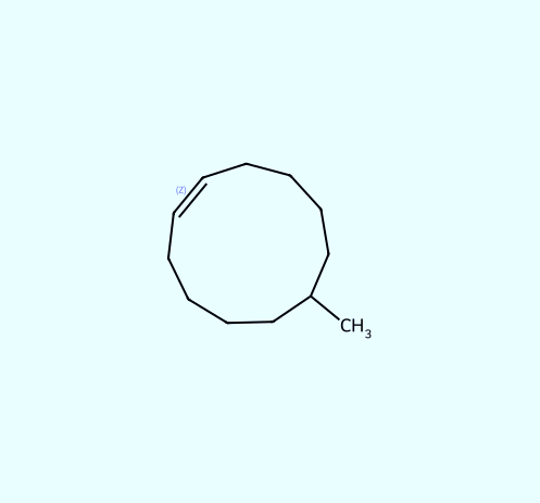 CC1CCCC/C=C\CCCC1